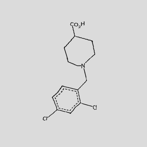 O=C(O)C1CCN(Cc2ccc(Cl)cc2Cl)CC1